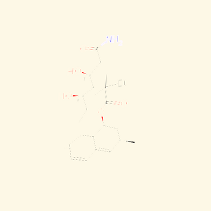 CCC(C)(C)C(=O)O[C@H]1C[C@@H](C)C=C2C=C[C@H](C)[C@H](CC[C@@H](O)C[C@@H](O)CC(N)=O)C21